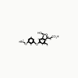 CCCCOc1cccc(Oc2cc(C)c3c(c2)B(O)OC3CC(=O)O)c1